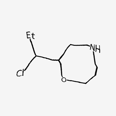 CCC(Cl)C1CNCCO1